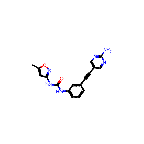 Cc1cc(NC(=O)Nc2cccc(C#Cc3cnc(N)nc3)c2)no1